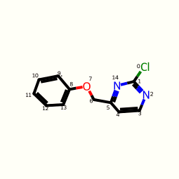 Clc1nccc(COc2[c]cccc2)n1